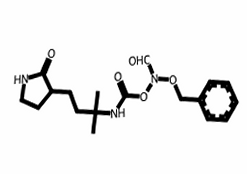 CC(C)(CCC1CCNC1=O)NC(=O)ON(C=O)OCc1ccccc1